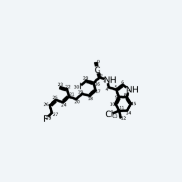 C=C=C(NCc1c[nH]c2c1=CC(C)(Cl)CC=2)C(/C=C\CC/C(C=C)=C/C=C\CF)=C/I